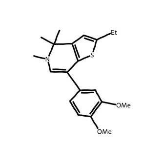 CCc1cc2c(s1)C(c1ccc(OC)c(OC)c1)=CN(C)C2(C)C